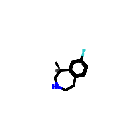 C[C@H]1CNCCc2ccc(F)cc21